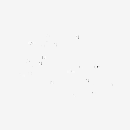 CC(C)CC(=O)N(C(=O)OC(C)(C)C)c1cncc(-c2cc3c(-c4cc5c(-c6ccc(F)cc6)nccc5n4C(=O)OC(C)(C)C)nn(C(=O)OC(C)(C)C)c3cn2)c1